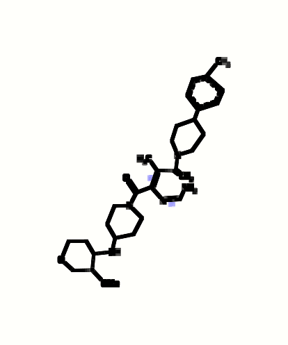 C=C(/C(C)=C(\N=C/N)C(=O)N1CCC(NC2CCOCC2OC)CC1)N1CCC(c2ccc(C)cc2)CC1